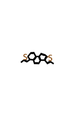 CC1=CC2c3ccc4c(ccc5sc(C)cc54)c3C=CC2S1